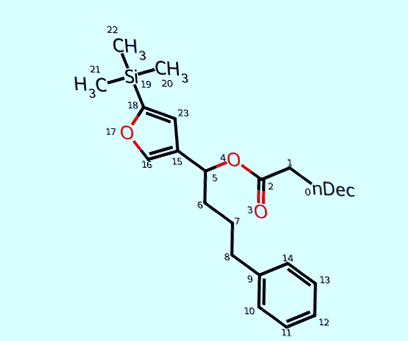 CCCCCCCCCCCC(=O)OC(CCCc1ccccc1)c1coc([Si](C)(C)C)c1